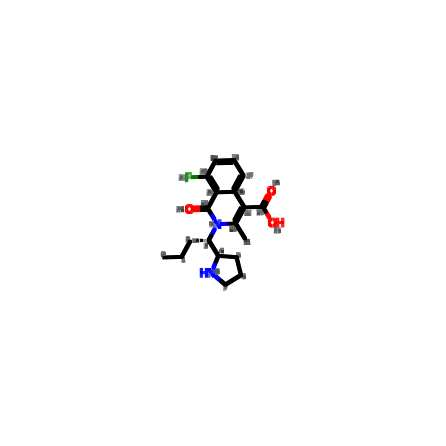 CCC[C@@H](C1CCCN1)n1c(C)c(C(=O)O)c2cccc(F)c2c1=O